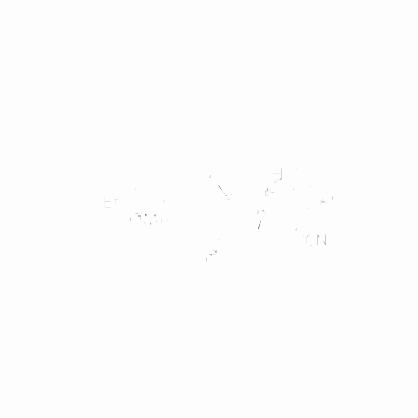 CCC(C)(C)CC[C@](C)(CCOC)CC[C@]1(C)C(C)C(=O)C=C2[C@@]3(C)C=C(C#N)C(=O)C(C)(C)[C@@H]3CC[C@]21C